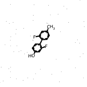 Cc1ccc(-c2ccc(O)cc2F)c(F)c1